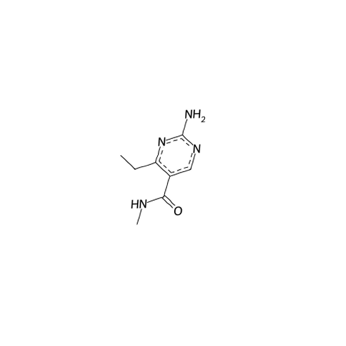 CCc1nc(N)ncc1C(=O)NC